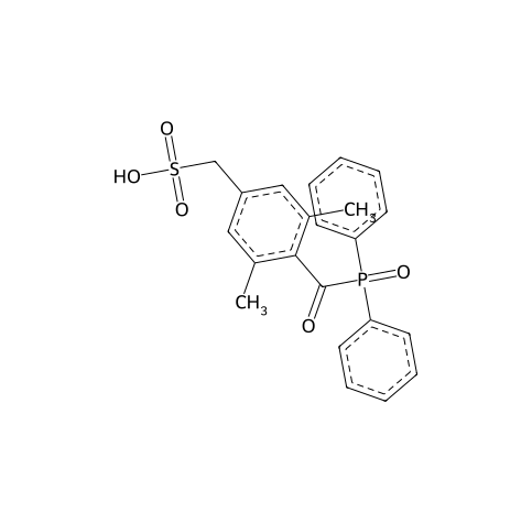 Cc1cc(CS(=O)(=O)O)cc(C)c1C(=O)P(=O)(c1ccccc1)c1ccccc1